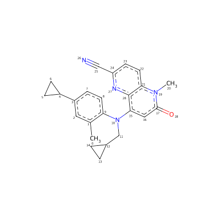 Cc1cc(C2CC2)ccc1N(CC1CC1)c1cc(=O)n(C)c2ccc(C#N)nc12